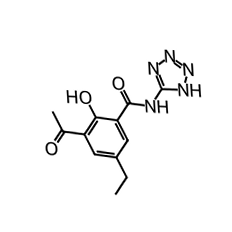 CCc1cc(C(C)=O)c(O)c(C(=O)Nc2nnn[nH]2)c1